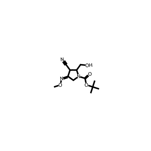 CON=C1CN(C(=O)OC(C)(C)C)C(CO)C1C#N